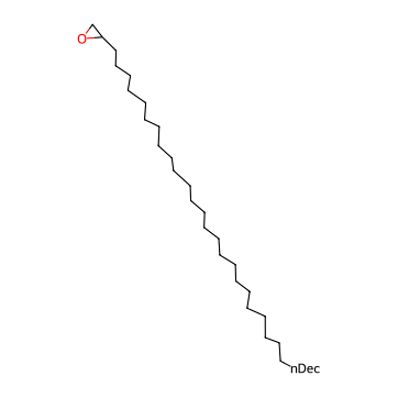 CCCCCCCCCCCCCCCCCCCCCCCCCCCCCCCCCCC1CO1